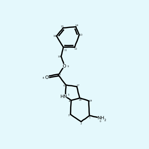 NC1CCC2NC(C(=O)OCc3ccccc3)CC2C1